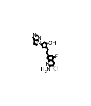 Nc1nc2cc(CC[C@H]3CC(n4ccc5cncnc54)C[C@@H]3O)cc(F)c2cc1Cl